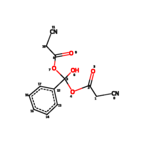 N#CCC(=O)OC(O)(OC(=O)CC#N)c1ccccc1